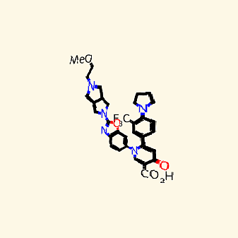 COCCN1CC2CN(c3nc4ccc(-n5cc(C(=O)O)c(=O)cc5-c5ccc(N6CCCC6)c(C(F)(F)F)c5)cc4o3)CC2C1